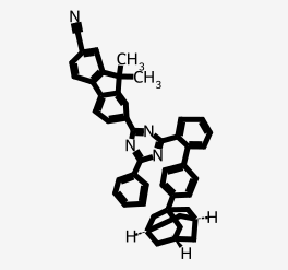 CC1(C)c2cc(C#N)ccc2-c2ccc(-c3nc(-c4ccccc4)nc(-c4ccccc4-c4ccc(C56C[C@H]7C[C@@H](C5)C[C@@H](C6)C7)cc4)n3)cc21